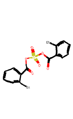 CCc1ccccc1C(=O)OS(=O)(=O)OC(=O)c1ccccc1CC